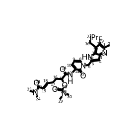 Cc1nc2cc(Cn3cccc(NC(=O)C(CC/C=C/C(=O)N(C)C)OC(=O)N(C)C)c3=O)[nH]c2c(CC(C)C)c1F